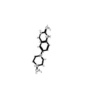 C=C1Nc2ccc(N3CCN(C)CC3)cc2CS1